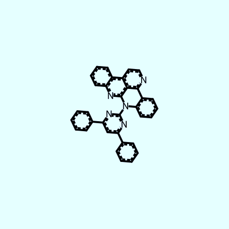 c1ccc(-c2cc(-c3ccccc3)nc(N3c4ccccc4-c4nccc5c4c3nc3ccccc35)n2)cc1